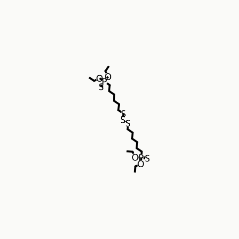 CCOP(=S)(CCCCCCSSSCCCCCCP(=S)(OCC)OCC)OCC